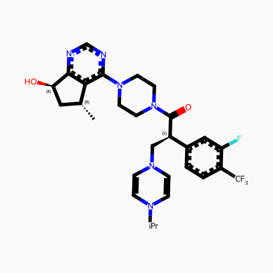 CC(C)N1C=CN(C[C@@H](C(=O)N2CCN(c3ncnc4c3[C@H](C)C[C@H]4O)CC2)c2ccc(C(F)(F)F)c(F)c2)C=C1